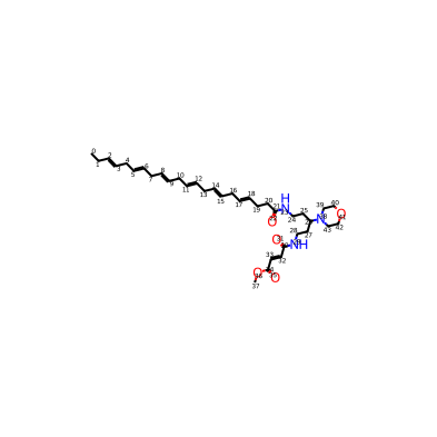 CCC=CCC=CCC=CCC=CCC=CCC=CCCC(=O)NCCC(CCNC(=O)C=CC(=O)OC)N1CCOCC1